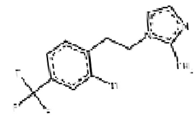 Cc1nccn1CCc1ccc(C(F)(F)F)cc1Cl